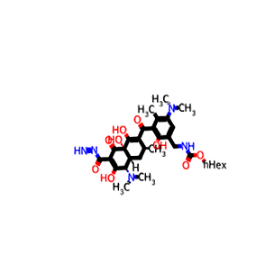 CCCCCCOC(=O)NCc1cc(N(C)C)c(C)c(C(=O)C2=C(O)[C@]3(O)C(=O)C(C(=O)N=N)=C(O)[C@@H](N(C)C)[C@@H]3C[C@@H]2C)c1O